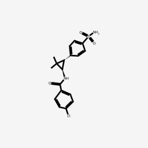 CC1(C)[C@H](NC(=O)c2ccc(Cl)cc2)[C@H]1c1ccc(S(N)(=O)=O)cc1